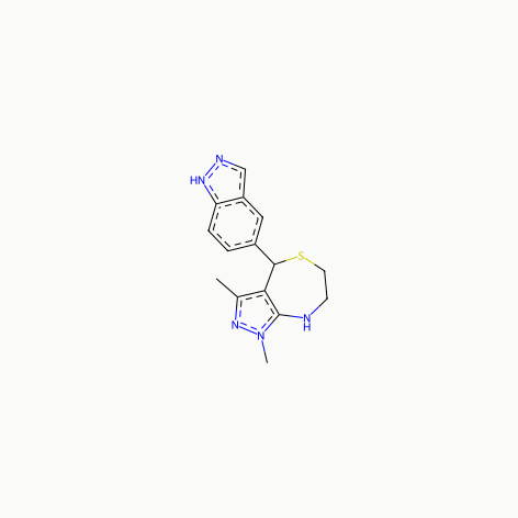 Cc1nn(C)c2c1C(c1ccc3[nH]ncc3c1)SCCN2